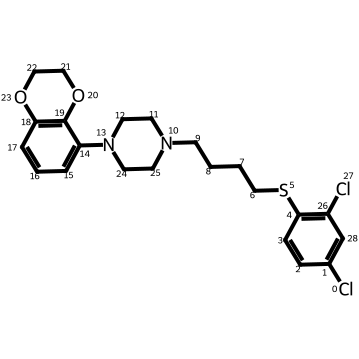 Clc1ccc(SCCCCN2CCN(c3cccc4c3OCCO4)CC2)c(Cl)c1